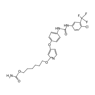 NC(=O)OCCCCCCOc1cc(Oc2ccc(NC(=O)Nc3ccc(Cl)c(C(F)(F)F)c3)cc2)ccn1